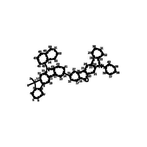 CC1(C)c2ccccc2-c2cc3c4cc(-c5ccc6oc7cc8c(cc7c6c5)c5ccccc5n8-c5ccccc5)ccc4n(-c4cccc5ccccc45)c3cc21